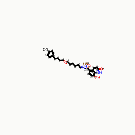 O=Nc1ccc(CCCCOCCCCCCNC[C@H](OS)c2ccc(O)c3[nH]c(=O)ccc23)cc1